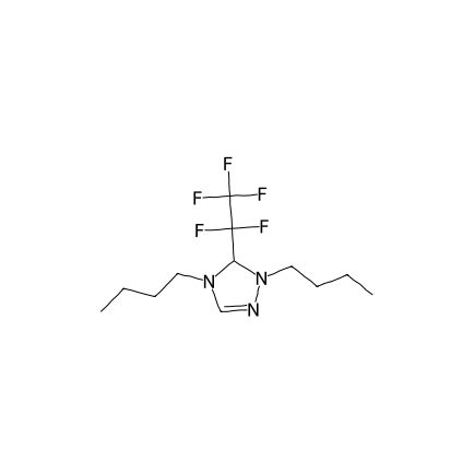 CCCCN1C=NN(CCCC)C1C(F)(F)C(F)(F)F